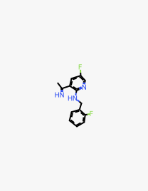 CC(=N)c1cc(F)cnc1NCc1ccccc1F